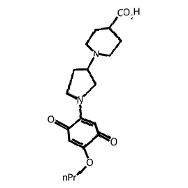 CCCOC1=CC(=O)C(N2CCC(N3CCC(C(=O)O)CC3)C2)=CC1=O